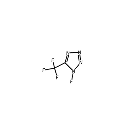 Fn1nnnc1C(F)(F)F